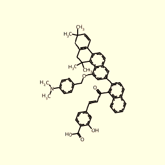 CN(C)c1ccc(COc2cc(-c3ccc4ccccc4c3C(=O)C=Cc3ccc(C(=O)O)c(O)c3)cc3ccc4c(c23)C(C)(C)CC2=C4C=CC(C)(C)C2)cc1